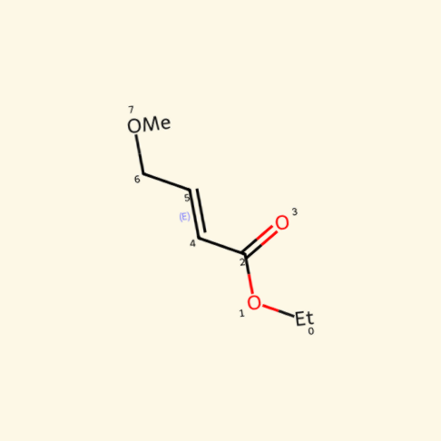 CCOC(=O)/C=C/COC